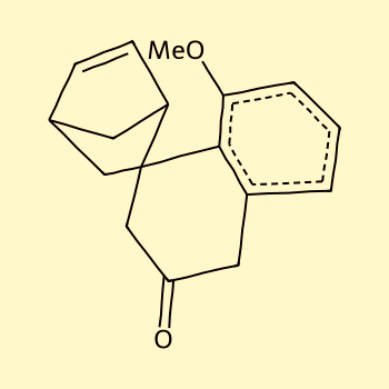 COc1cccc2c1C1(CC(=O)C2)CC2C=CC1C2